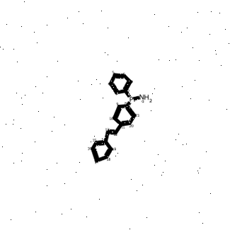 NP(c1ccccc1)c1ccc(C=Cc2ccccc2)cc1